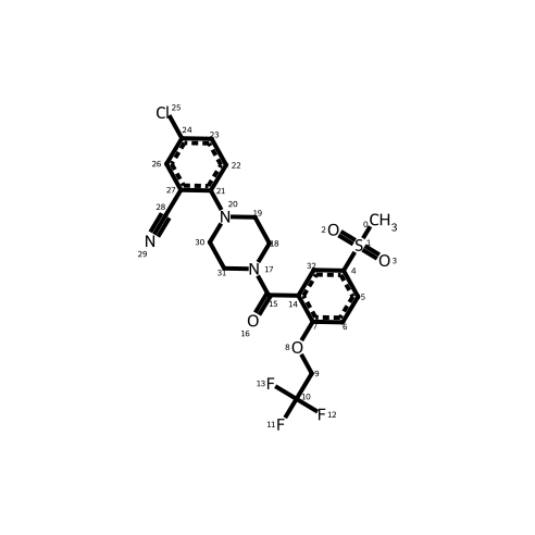 CS(=O)(=O)c1ccc(OCC(F)(F)F)c(C(=O)N2CCN(c3ccc(Cl)cc3C#N)CC2)c1